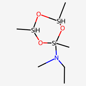 CCN(C)[Si]1(C)O[SiH](C)O[SiH](C)O1